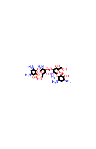 NC1C(OCO[C@H]2C(N)[C@H](O[C@H]3C(N)C[C@H](N)C(O)[C@@H]3O)OC(CO)[C@@H]2O)[C@H](O)C(CO)O[C@@H]1O[C@@H]1C(N)C[C@@H](N)[C@@H](O)C1O